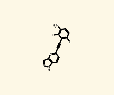 Nc1ccc(F)c(C#Cc2ccc3[nH]ncc3n2)c1F